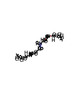 C=C(CC)C(=O)c1ccc(OCC(=O)NCCCn2cc(CNC(=O)OCCC/N=C(\C=C3/C=CN(CCCOC(=O)NCc4cn(CCCNC(=O)COc5ccc(C(=O)C(=C)CC)c(Cl)c5Cl)nn4)c4ccccc43)Sc3ccccc3C)nn2)c(Cl)c1Cl